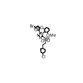 COc1cccc(OC)c1-n1c(NS(=O)(=O)CCc2ccc(Cl)cc2)nnc1-c1ccc(Br)o1